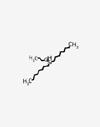 CCCCCCCC[SiH](CCCCCCCC)OCCC